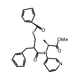 COC(=O)[C@H](C)N(C(=O)C(CSC(=O)c1ccccc1)Cc1ccccc1)c1cccnc1